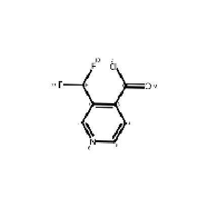 O=C(Cl)c1ccncc1C(F)F